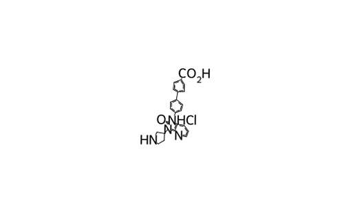 Cl.O=C(O)c1ccc(-c2ccc(-n3c(=O)n(C4CCNC4)c4ncccc43)cc2)cc1